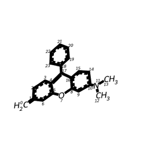 C=c1ccc2c(c1)Oc1cc(N(C)C)ccc1C=2c1ccccc1